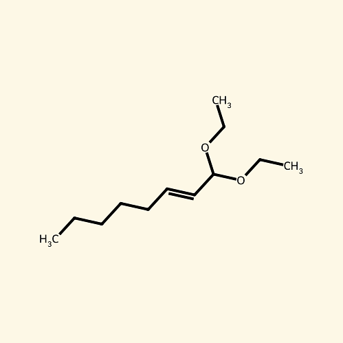 CCCCC/C=C/C(OCC)OCC